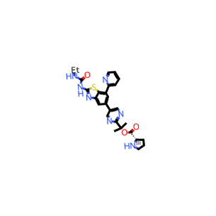 CCNC(=O)Nc1nc2cc(-c3cnc(C(C)(C)OC(=O)[C@@H]4CCCN4)nc3)cc(-c3ccccn3)c2s1